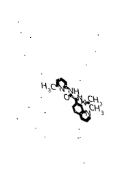 Cc1cccc(NC(=O)c2nn(C(C)C)c3c2CCc2cccnc2-3)n1